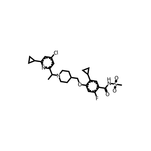 CC(c1cc(Cl)cc(C2CC2)n1)N1CCC(COc2cc(F)c(C(=O)NS(C)(=O)=O)cc2C2CC2)CC1